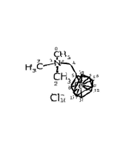 C[N+](C)(C)C[C]12[CH]3[CH]4[CH]5[CH]1[Fe]45321678[CH]2[CH]1[CH]6[CH]7[CH]28.[Cl-]